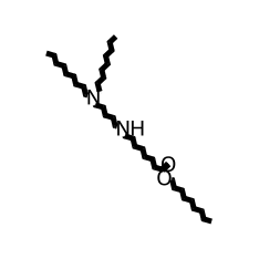 CCCCCCCCCOC(=O)CCCCCCCNCCCCCN(CCCCCCCCC)CCCCCCCCC